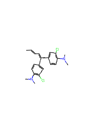 C/C=C/C=C(c1ccc(N(C)C)c(Cl)c1)c1ccc(N(C)C)c(Cl)c1